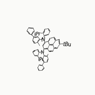 Cc1ccc(-c2ccccc2)cc1N(c1ccccc1C(C)C)c1cc(N(c2cc(-c3ccccc3)ccc2C)c2ccccc2C(C)C)c2ccc3cc(C(C)(C)C)cc4ccc1c2c43